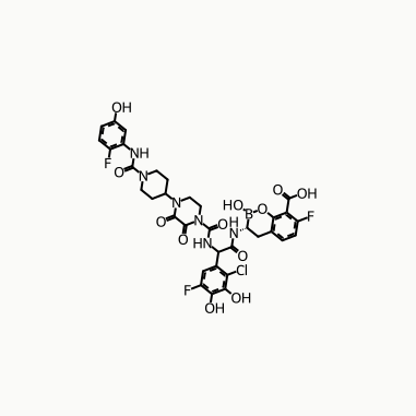 O=C(O)c1c(F)ccc2c1OB(O)[C@@H](NC(=O)C(NC(=O)N1CCN(C3CCN(C(=O)Nc4cc(O)ccc4F)CC3)C(=O)C1=O)c1cc(F)c(O)c(O)c1Cl)C2